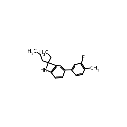 CCCC1(CC)Nc2ccc(-c3ccc(C)c(F)c3)cc21